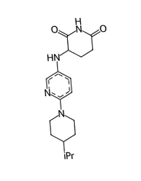 CC(C)C1CCN(c2ccc(NC3CCC(=O)NC3=O)cn2)CC1